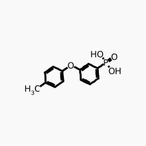 Cc1ccc(Oc2cccc(P(=O)(O)O)c2)cc1